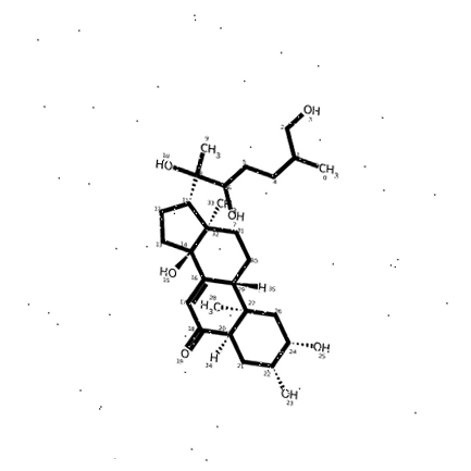 CC(CO)CCC(O)C(C)(O)[C@H]1CC[C@@]2(O)C3=CC(=O)[C@@H]4C[C@@H](O)[C@@H](O)C[C@]4(C)[C@H]3CC[C@]12C